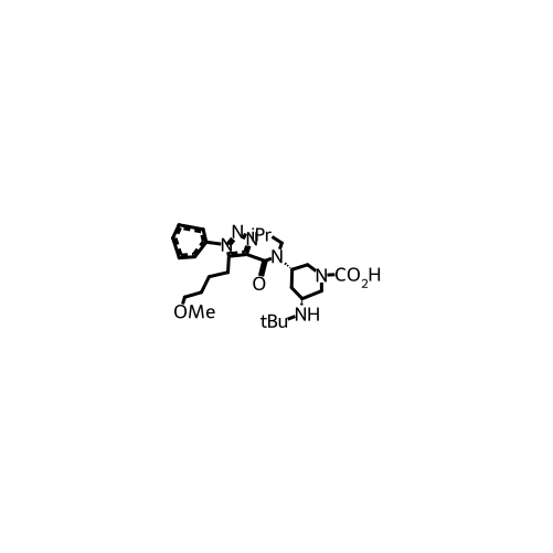 COCCCCc1c(C(=O)N(CC(C)C)[C@H]2C[C@@H](NC(C)(C)C)CN(C(=O)O)C2)nnn1-c1ccccc1